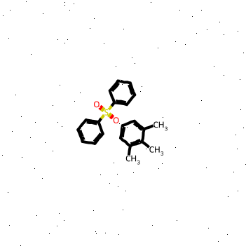 Cc1cccc(C)c1C.O=S(=O)(c1ccccc1)c1ccccc1